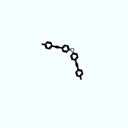 Cc1ccc(C#Cc2ccc(Oc3ccc(C#Cc4ccc(C)cc4)cc3)cc2)cc1